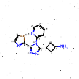 N[C@H]1C[C@H](c2nnc(-c3nccs3)n2-c2ccccn2)C1